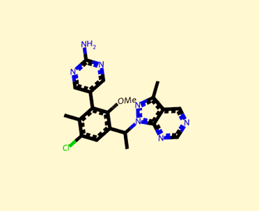 COc1c(C(C)n2nc(C)c3cncnc32)cc(Cl)c(C)c1-c1cnc(N)nc1